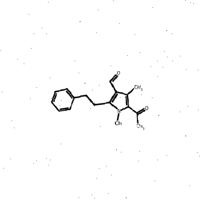 CC(=O)c1c(C)c(C=O)c(CCc2ccccc2)n1O